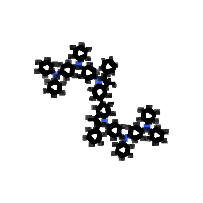 Cc1c(-c2ccccc2)n(-c2ccc(N(c3ccccc3)c3ccc(N(c4ccccc4)c4ccccc4)cc3)cc2)c2ccc(-c3ccc4c(c3)c(C)c(-c3ccccc3)n4-c3ccc(N(c4ccccc4)c4ccc(N(c5ccccc5)c5ccccc5)cc4)cc3)cc12